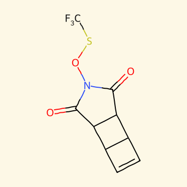 O=C1C2C3C=CC3C2C(=O)N1OSC(F)(F)F